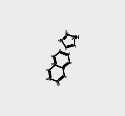 c1c[nH]nn1.c1ccc2cnncc2c1